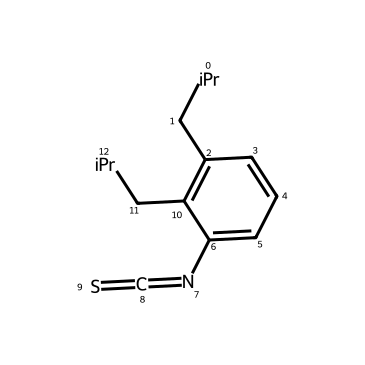 CC(C)Cc1cccc(N=C=S)c1CC(C)C